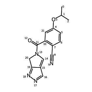 CC(C)Oc1ccc(C#N)c(C(=O)N2C=C3C=NN=C3C2)c1